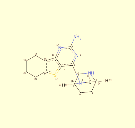 Nc1nc(N2C[C@@H]3CC[C@H]2CN3)c2sc3c(c2n1)CCCC3